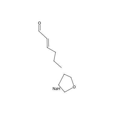 C1CCOC1.CCCC=CC=O.[NaH]